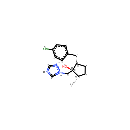 CC(C)[C@H]1CC[C@@H](Cc2ccc(Cl)cc2)[C@@]1(O)Cn1cncn1